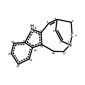 C1=CN2CCC1=Cc1[nH]c3ccccc3c1CC2